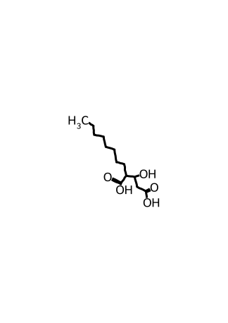 CCCCCCCCC(C(=O)O)C(O)CC(=O)O